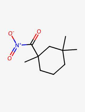 CC1(C)CCCC(C)(C(=O)[N+](=O)[O-])C1